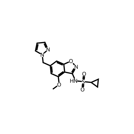 COc1cc(Cn2cccn2)cc2onc(NS(=O)(=O)C3CC3)c12